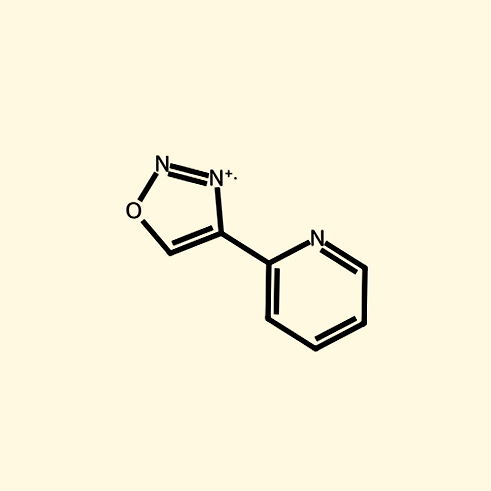 C1=C(c2ccccn2)[N+]=NO1